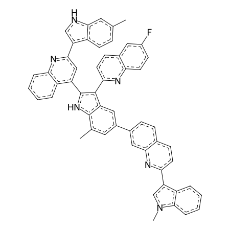 Cc1ccc2c(-c3cc(-c4[nH]c5c(C)cc(-c6ccc7ccc(-c8cn(C)c9ccccc89)nc7c6)cc5c4-c4ccc5cc(F)ccc5n4)c4ccccc4n3)c[nH]c2c1